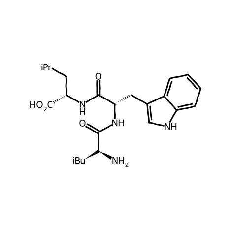 CC[C@H](C)[C@H](N)C(=O)N[C@@H](Cc1c[nH]c2ccccc12)C(=O)N[C@@H](CC(C)C)C(=O)O